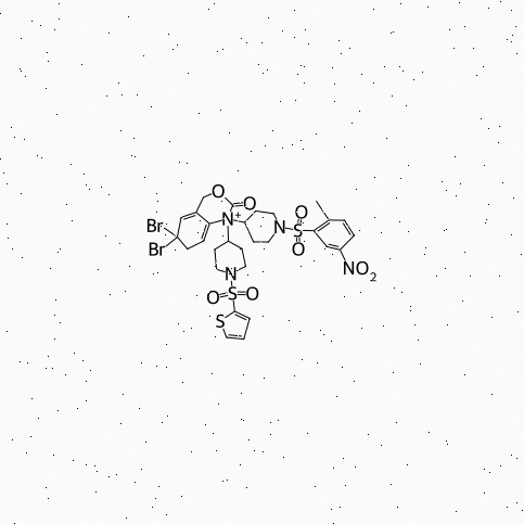 Cc1ccc([N+](=O)[O-])cc1S(=O)(=O)N1CCC([N+]2(C3CCN(S(=O)(=O)c4cccs4)CC3)C(=O)OCC3=CC(Br)(Br)CC=C32)CC1